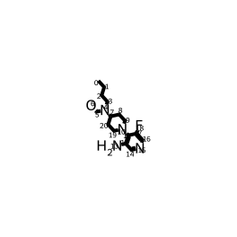 CCCCN(C=O)C1CCN(c2c(N)cncc2F)CC1